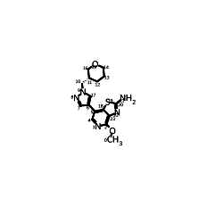 COc1ncc(-c2cnn(C[C@H]3CCCOC3)c2)c2sc(N)nc12